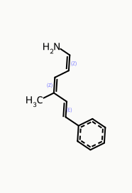 CC(=C/C=C\N)/C=C/c1ccccc1